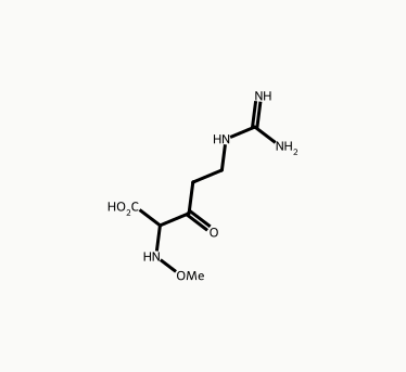 CONC(C(=O)O)C(=O)CCNC(=N)N